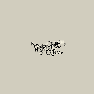 CN[C@@](C)(CS(=O)(=O)N(C)Cc1ccc(OC)cc1)c1cc(NC(=O)c2ccc(F)cn2)ccc1F